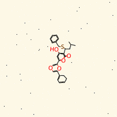 CC(C)CC(SCc1ccccc1)c1c(O)cc(C2=COC=C(C3=CC=CCC3)O2)oc1=O